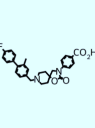 Cc1cc(CN2CCC3(CC2)CN(c2ccc(C(=O)O)cc2)C(=O)O3)ccc1-c1ccc(F)cc1